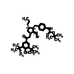 CCC[C@H]1CN(CC(=O)c2cc(C(C)(C)C)c(O)c(C(C)(C)C)c2)/C(=N\Br)[C@@H]1Cc1ccc(NC(=O)OC(C)(C)C)cc1